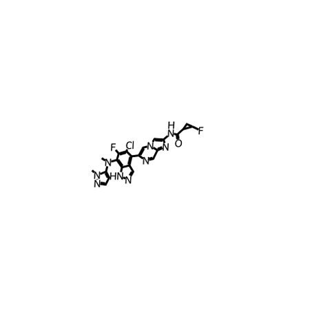 CN(c1c(F)c(Cl)c(-c2cn3cc(NC(=O)C4CC4F)nc3cn2)c2cn[nH]c12)c1ccnn1C